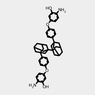 Nc1ccc(Oc2ccc(C34CC5CC(C3)CC(C36CC7CC(CC(c8ccc(Oc9ccc(N)c(O)c9)cc8)(C7)C3)C6)(C5)C4)cc2)cc1O